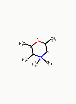 CC1C[N+](C)(C)C(C)C(C)O1